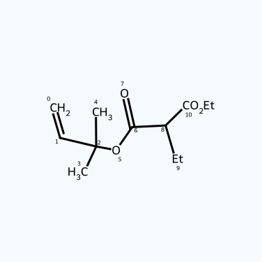 C=CC(C)(C)OC(=O)C(CC)C(=O)OCC